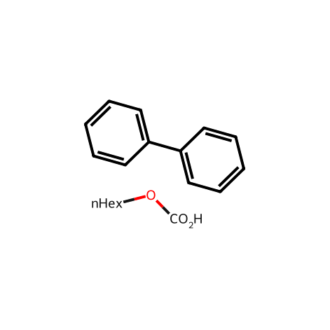 CCCCCCOC(=O)O.c1ccc(-c2ccccc2)cc1